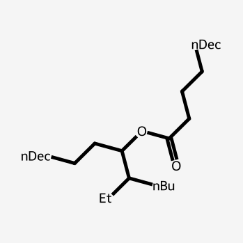 CCCCCCCCCCCCCC(=O)OC(CCCCCCCCCCCC)C(CC)CCCC